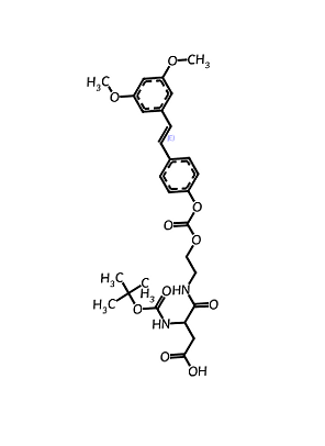 COc1cc(/C=C/c2ccc(OC(=O)OCCNC(=O)C(CC(=O)O)NC(=O)OC(C)(C)C)cc2)cc(OC)c1